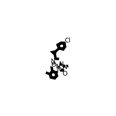 CC(=NOCc1c(C)cccc1-n1nnn(C)c1=O)C1CC1c1ccc(Cl)cc1